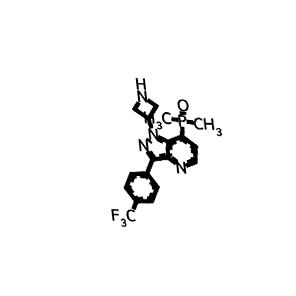 CP(C)(=O)c1ccnc2c(-c3ccc(C(F)(F)F)cc3)nn(C3CNC3)c12